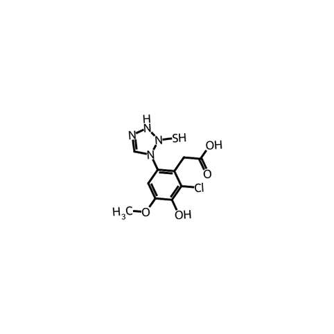 COc1cc(N2C=NNN2S)c(CC(=O)O)c(Cl)c1O